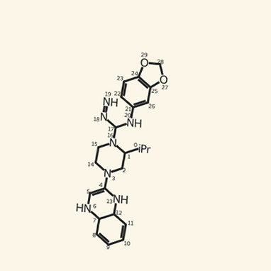 CC(C)C1CN(C2=CNC3C=CC=CC3N2)CCN1C(N=N)Nc1ccc2c(c1)OCO2